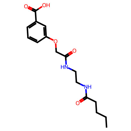 CCCCC(=O)NCCNC(=O)COc1cccc(C(=O)O)c1